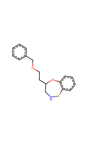 c1ccc(COCCC2CNSc3ccccc3O2)cc1